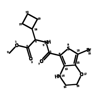 COC(=O)C(NC(=O)c1sc(Br)c2c1NCCO2)C1CCC1